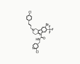 O=C(NCc1ccnc(Cl)c1)n1c2c(c3cc(Br)c(C(F)(F)F)cc31)CN(C/C=C/c1ccc(Cl)cc1)CC2